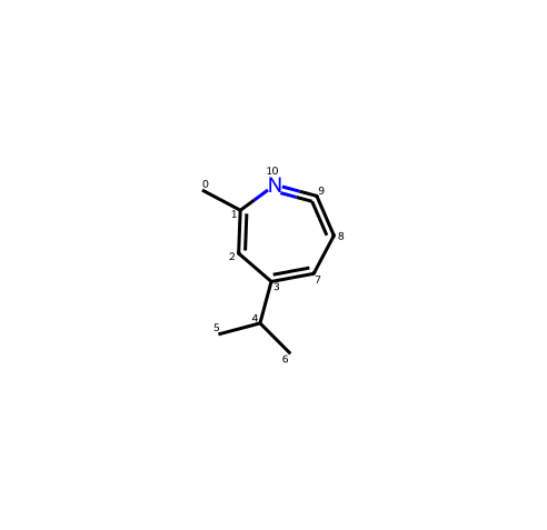 CC1=CC(C(C)C)=CC=C=N1